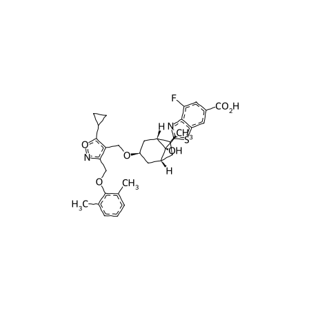 Cc1cccc(C)c1OCc1noc(C2CC2)c1CO[C@@H]1C[C@H]2C[C@H](C)[C@@H](C1)[C@]2(O)c1nc2c(F)cc(C(=O)O)cc2s1